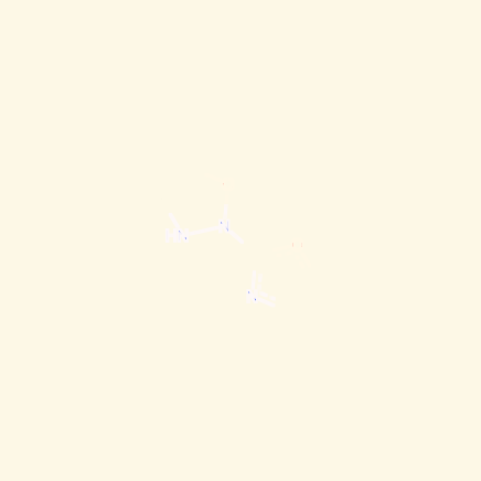 c1coc(N2NCCO2)n1